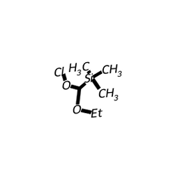 CCOC(OCl)[Si](C)(C)C